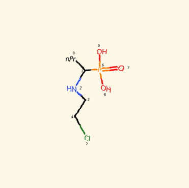 CCCC(NCCCl)P(=O)(O)O